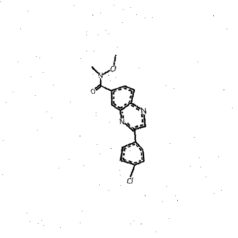 CON(C)C(=O)c1ccc2ncc(-c3ccc(Cl)cc3)nc2c1